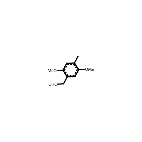 COc1cc(CC=O)c(OC)cc1C